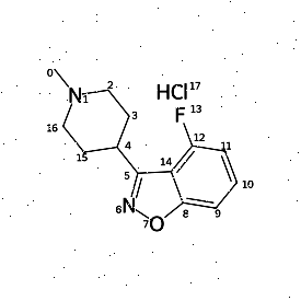 CN1CCC(c2noc3cccc(F)c23)CC1.Cl